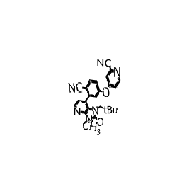 Cn1c(=O)n(CC(C)(C)C)c2c(-c3cc(Oc4ccnc(C#N)c4)ccc3C#N)ccnc21